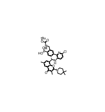 Cc1cc([C@@H](C)Nc2ccc(Cl)nc2-c2ccc(B(O)O)c(CNC(=O)OC(C)(C)C)c2)c2oc(N3CCC(C)(C)CC3)c(C)c(=O)c2c1